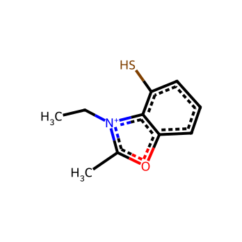 CC[n+]1c(C)oc2cccc(S)c21